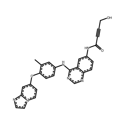 Cc1cc(Nc2ncnc3ccc(NC(=O)C#CCO)cc23)ccc1Oc1ccn2ccnc2c1